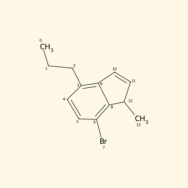 CCCc1ccc(Br)c2c1C=CC2C